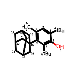 Cc1cc(C(C)(C)C)c(O)c(C(C)(C)C)c1C12CC3CC(CC(C3)C1)C2